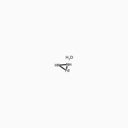 O.[NH]1[NH][Pd]1